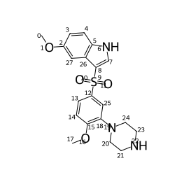 COc1ccc2[nH]cc(S(=O)(=O)c3ccc(OC)c(N4CCNCC4)c3)c2c1